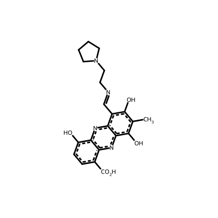 Cc1c(O)c(/C=N/CCN2CCCC2)c2nc3c(O)ccc(C(=O)O)c3nc2c1O